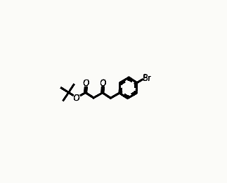 CC(C)(C)OC(=O)CC(=O)Cc1ccc(Br)cc1